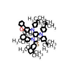 CC(C)(C)c1ccc(N(c2cc3c4c(c2)N(c2ccc5c(c2)C(C)(C)CCC5(C)C)c2c(sc5cc6c(cc25)C(C)(C)CCC6(C)C)B4c2cc(C(C)(C)C)ccc2N3c2ccc(C(C)(C)C)cc2)c2ccc3oc4ccccc4c3c2)cc1